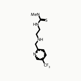 CNC(=S)NCCNCc1ccc(C(F)(F)F)cn1